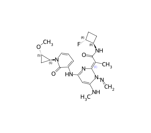 C=NN1C(NC)=CC(Nc2cccn([C@H]3C[C@@H]3OC)c2=O)=N/C1=C(/C)C(=O)N[C@@H]1CC[C@H]1F